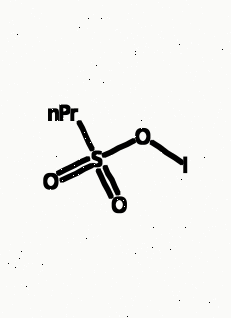 CCCS(=O)(=O)OI